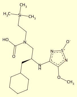 COc1n[s+]([O-])nc1N[C@@H](CC1CCCCC1)CN(CC[Si](C)(C)C)C(=O)O